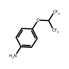 Nc1ccc(OC(C(F)(F)F)C(F)(F)F)cc1